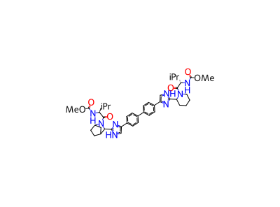 COC(=O)N[C@H](C(=O)N1CCCCC1c1nc(-c2ccc(-c3ccc(-c4c[nH]c(C5C6CCC(C6)N5C(=O)[C@@H](NC(=O)OC)C(C)C)n4)cc3)cc2)c[nH]1)C(C)C